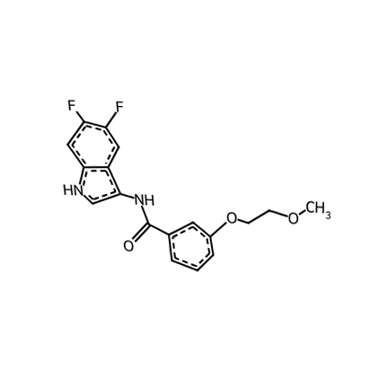 COCCOc1cccc(C(=O)Nc2c[nH]c3cc(F)c(F)cc23)c1